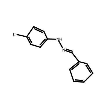 Clc1ccc(NN=Cc2ccccc2)cc1